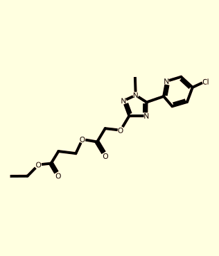 CCOC(=O)CCOC(=O)COc1nc(-c2ccc(Cl)cn2)n(C)n1